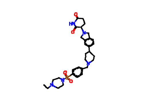 CCN1CCN(S(=O)(=O)c2ccc(CN3CCC(c4ccc5c(c4)CN(C4CCC(=O)NC4=O)C5)CC3)cc2)CC1